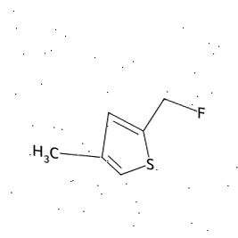 Cc1csc(CF)c1